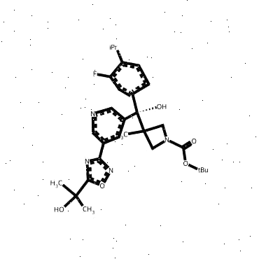 CC(C)c1ccc([C@](O)(c2cncc(-c3noc(C(C)(C)O)n3)c2)C2(C)CN(C(=O)OC(C)(C)C)C2)cc1F